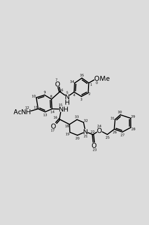 COc1ccc(NC(=O)c2ccc(NC(C)=O)cc2NC(=O)C2CCN(C(=O)OCc3ccccc3)CC2)cc1